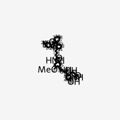 COc1cc(NC(=O)CCCc2cccc(C3(C(=O)OCC4CCN(C)CC4)CCCCC3)c2)c(Cl)cc1CNCC(O)c1ccc(O)c2[nH]c(=O)ccc12